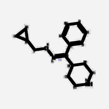 c1ccc(/C(=N\OCC2CC2)C2CCNCC2)cc1